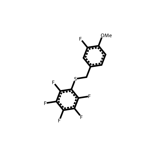 COc1ccc(CSc2c(F)c(F)c(F)c(F)c2F)cc1F